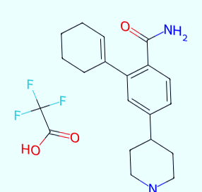 NC(=O)c1ccc(C2CCNCC2)cc1C1=CCCCC1.O=C(O)C(F)(F)F